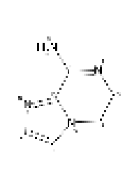 NC1=NCCn2ccnc21